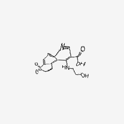 O=C(O)c1cnc2ccc3c(c2c1NCCO)CCS3(=O)=O